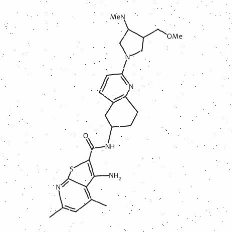 CNC1CN(c2ccc3c(n2)CCC(NC(=O)c2sc4nc(C)cc(C)c4c2N)C3)CC1COC